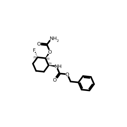 NC(=O)O[C@H]1[C@@H](NC(=O)OCc2ccccc2)CCC[C@@H]1F